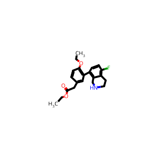 CCOC(=O)Cc1ccc(OCC)c(-c2ccc(F)c3c2CNCC3)c1